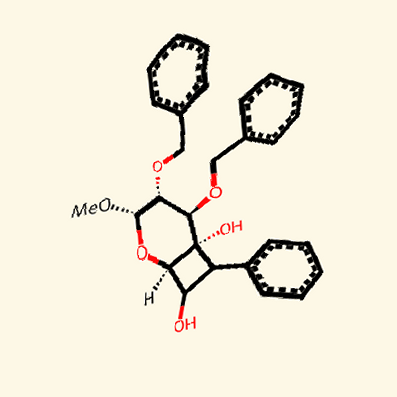 CO[C@H]1O[C@@H]2C(O)C(c3ccccc3)[C@]2(O)[C@H](OCc2ccccc2)[C@H]1OCc1ccccc1